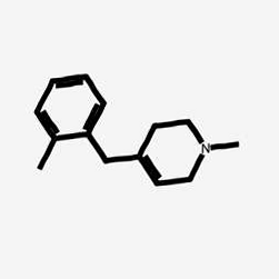 Cc1ccccc1CC1=CCN(C)CC1